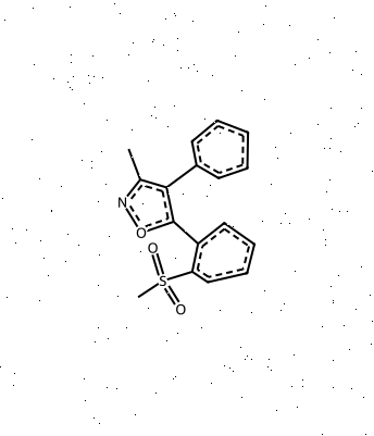 Cc1noc(-c2ccccc2S(C)(=O)=O)c1-c1ccccc1